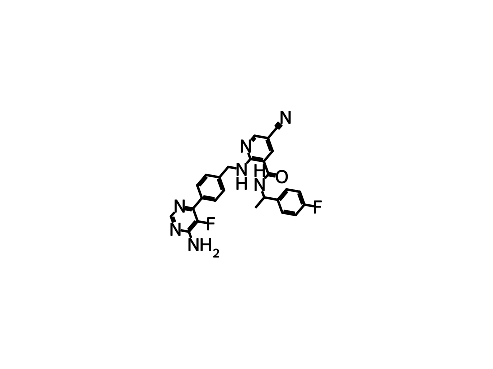 CC(NC(=O)c1cc(C#N)cnc1NCc1ccc(-c2ncnc(N)c2F)cc1)c1ccc(F)cc1